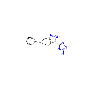 c1ccc(C2C3Cc4c(n[nH]c4-c4nn[nH]n4)C32)cc1